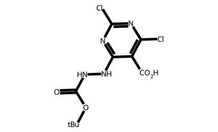 CC(C)(C)OC(=O)NNc1nc(Cl)nc(Cl)c1C(=O)O